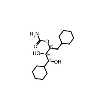 NC(=O)O[C@@H](CC1CCCCC1)[C@H](O)[C@@H](O)C1CCCCC1